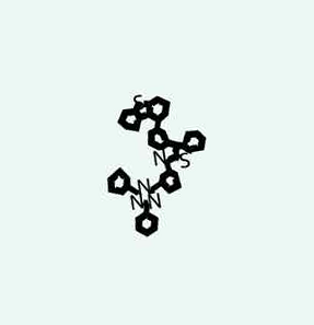 c1ccc(-c2nc(-c3ccccc3)nc(-c3cccc(-c4nc5ccc(-c6cccc7sc8ccccc8c67)cc5c5c4sc4ccccc45)c3)n2)cc1